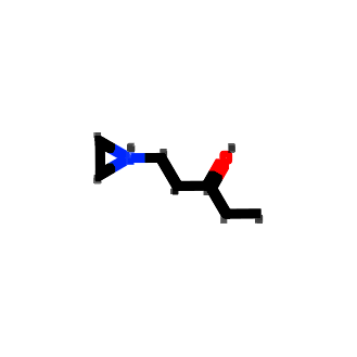 CCC(=O)CCN1CC1